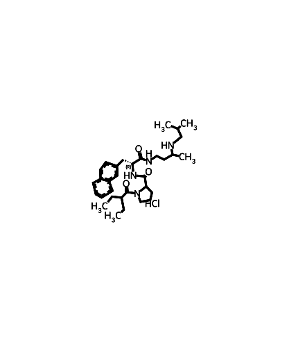 CCC(CC)C(=O)N1CCCC1C(=O)N[C@H](Cc1ccc2ccccc2c1)C(=O)NCCC(C)NCC(C)C.Cl